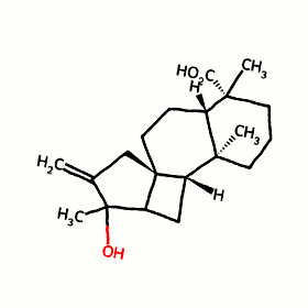 C=C1C[C@@]23CC[C@H]4[C@@](C)(CCC[C@@]4(C)C(=O)O)[C@@H]2CC3C1(C)O